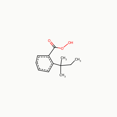 CCC(C)(C)c1ccccc1C(=O)OO